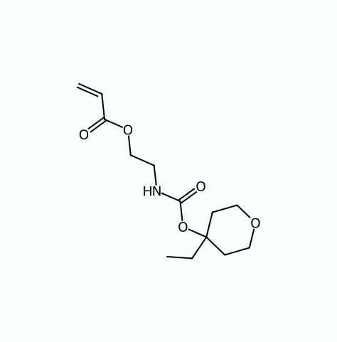 C=CC(=O)OCCNC(=O)OC1(CC)CCOCC1